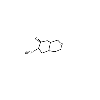 CCOC(=O)C1CN2CCOCC2CC1=O